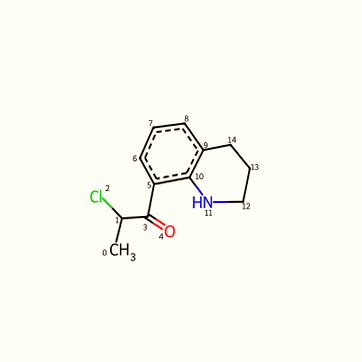 CC(Cl)C(=O)c1cccc2c1NCCC2